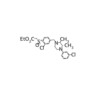 CCOC(=O)C[S+]([O-])c1ccc(CN2CCN(c3cccc(Cl)c3)[C@@H](C)[C@@H]2C)cc1Cl